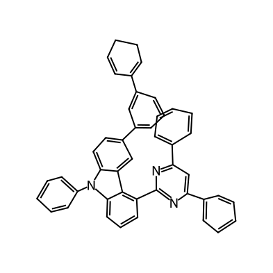 C1=CC(c2cccc(-c3ccc4c(c3)c3c(-c5nc(-c6ccccc6)cc(-c6ccccc6)n5)cccc3n4-c3ccccc3)c2)=CCC1